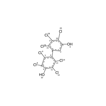 Oc1cc(-c2c(Cl)c(Cl)c(O)c(Cl)c2Cl)c(Cl)c(Cl)c1Cl